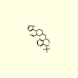 CCN(CC1CCN(c2ccc[nH]2)C(C=O)C1)c1ncccc1NC(C)(C)C